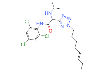 CCC=CCCCCn1nnc(C(NC(C)C)C(=O)Nc2c(Cl)cc(Cl)cc2Cl)n1